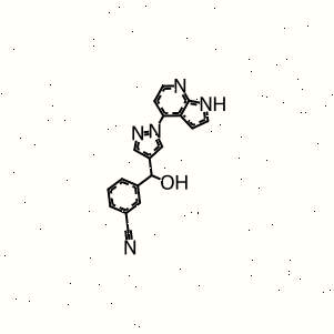 N#Cc1cccc(C(O)c2cnn(-c3ccnc4[nH]ccc34)c2)c1